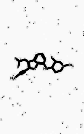 CC#Cc1sc2c(NC3CCN(C)CC3F)cccc2c1CC(F)F